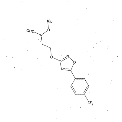 CC(C)(C)ON(C=O)CCOc1cc(-c2ccc(C(F)(F)F)cc2)on1